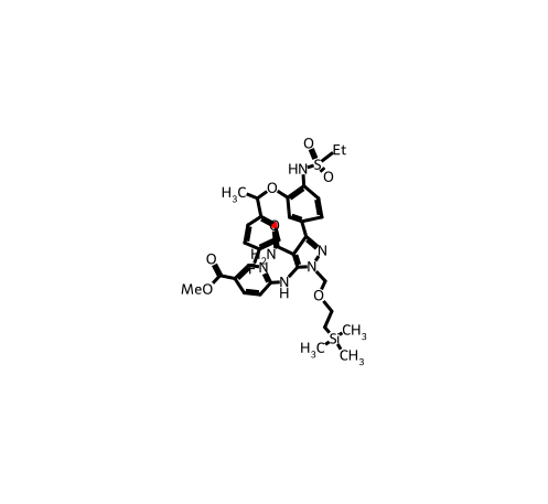 CCS(=O)(=O)Nc1ccc(-c2nn(COCC[Si](C)(C)C)c(Nc3ccc(C(=O)OC)cn3)c2C(N)=O)cc1OC(C)c1ccc(F)cc1